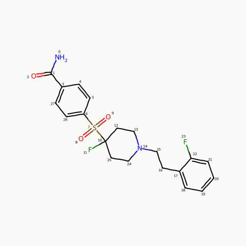 NC(=O)c1ccc(S(=O)(=O)C2(F)CCN(CCc3ccccc3F)CC2)cc1